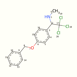 CNC(c1ccc(OCc2ccccc2)cc1)C(Cl)(Cl)Cl